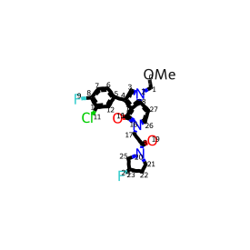 COCn1cc(-c2ccc(F)c(Cl)c2)c2c(=O)n(CC(=O)N3CCC(F)C3)ccc21